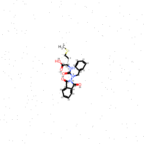 CSCC[C@H](NC(=O)N(Cc1ccccc1)N1C(=O)c2ccccc2C1=O)C(=O)O